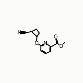 COC(=O)c1cccc(OC2CCC2C#N)n1